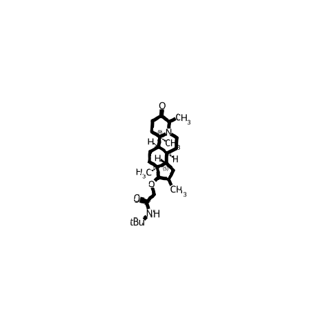 CC1C[C@H]2[C@@H]3CCN4C(C)C(=O)CC[C@]4(C)[C@@H]3CC[C@]2(C)C1OCC(=O)NC(C)(C)C